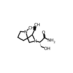 C#CC1N([C@@H](CO)C(N)=O)CC12CCCN2C